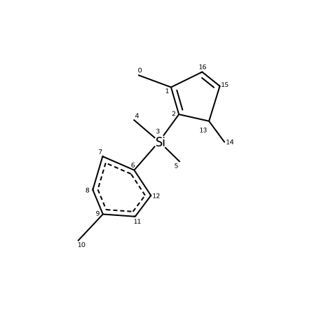 CC1=C([Si](C)(C)c2ccc(C)cc2)C(C)C=C1